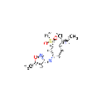 C/C=C(\C)c1ccc(Nc2cc(C)on2)cc1S(=O)(=O)C(C)C